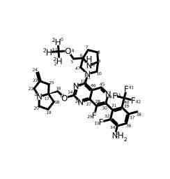 [2H]C([2H])([2H])OCC12CCC(CN(c3nc(OC[C@@]45CCCN4CC(=C)C5)nc4c(F)c(-c5c(F)c(N)cc(C)c5C(F)(F)F)ncc34)C1)N2